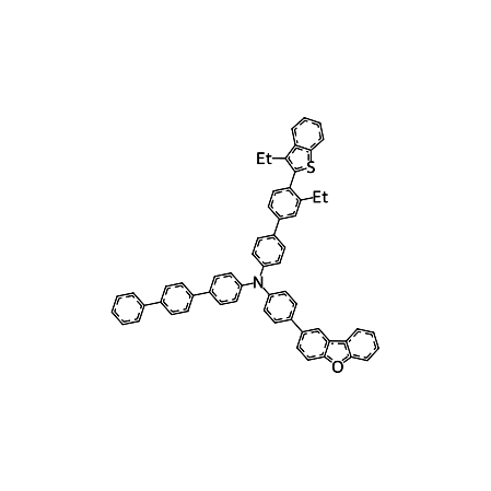 CCc1cc(-c2ccc(N(c3ccc(-c4ccc(-c5ccccc5)cc4)cc3)c3ccc(-c4ccc5oc6ccccc6c5c4)cc3)cc2)ccc1-c1sc2ccccc2c1CC